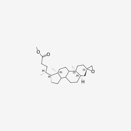 COC(=O)CC[C@@H](C)[C@H]1CCC2C3CC[C@@H]4C[C@@]5(CC[C@]4(C)C3CC[C@@]21C)CO5